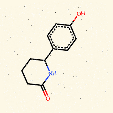 O=C1CCCC(c2ccc(O)cc2)N1